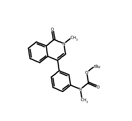 CN(C(=O)OC(C)(C)C)c1cccc(-c2cn(C)c(=O)c3ccccc23)c1